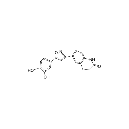 O=C1CCc2cc(-c3cc(-c4ccc(O)c(O)c4)on3)ccc2N1